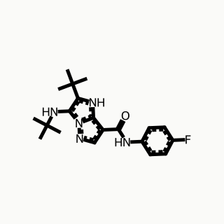 CC(C)(C)Nc1c(C(C)(C)C)[nH]c2c(C(=O)Nc3ccc(F)cc3)cnn12